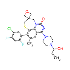 C=CC(O)N1CCN(c2nc(=O)n3c4c(c(-c5cc(Cl)c(F)cc5F)c(C(F)(F)F)cc24)SCC2(COC2)C3)CC1